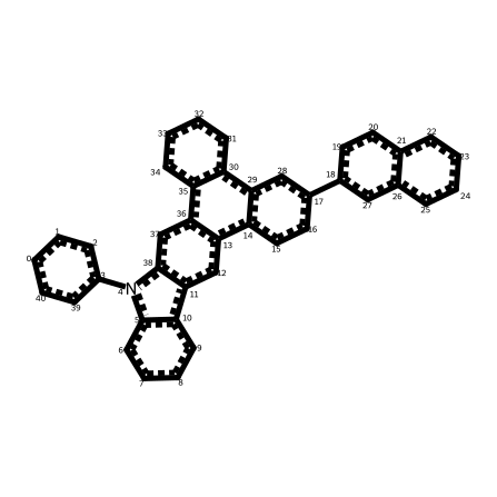 c1ccc(-n2c3ccccc3c3cc4c5ccc(-c6ccc7ccccc7c6)cc5c5ccccc5c4cc32)cc1